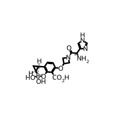 N[C@@H](C(=O)N1CC(Oc2ccc3c(c2C(=O)O)O[B-](O)(O)[C@H]2C[C@@H]32)C1)c1c[nH]cn1